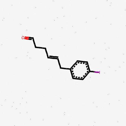 O=CCCC=CCc1ccc(I)cc1